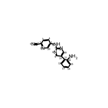 N#Cc1ccc(Nc2ncc(-c3ccccc3N)cn2)cn1